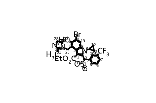 CCOC(=O)c1c(C(c2cccc(C(F)(F)F)c2)=S(=O)=O)n(C2CC2)c2cc(Br)c(O)c(Cn3ccnc3C)c12